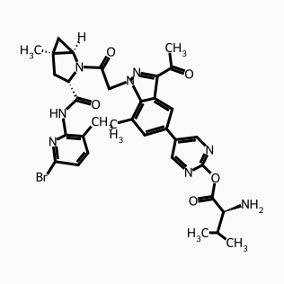 CC(=O)c1nn(CC(=O)N2[C@H](C(=O)Nc3nc(Br)ccc3C)C[C@@]3(C)C[C@@H]23)c2c(C)cc(-c3cnc(OC(=O)[C@@H](N)C(C)C)nc3)cc12